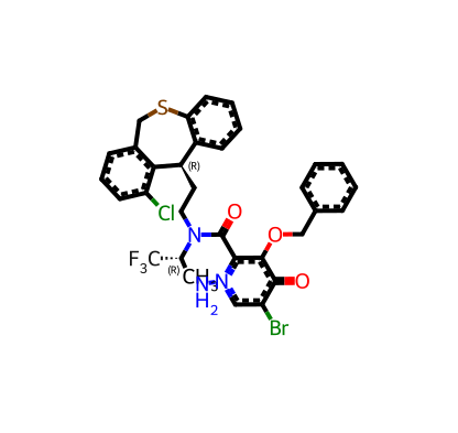 C[C@@H](N(CC[C@@H]1c2ccccc2SCc2cccc(Cl)c21)C(=O)c1c(OCc2ccccc2)c(=O)c(Br)cn1N)C(F)(F)F